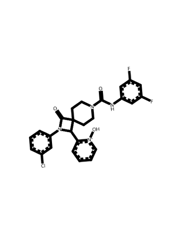 O=C(Nc1cc(F)cc(F)c1)N1CCC2(CC1)C(=O)N(c1cccc(Cl)c1)C2c1cccc[n+]1O